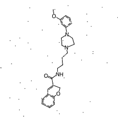 COc1cccc(N2CCN(CCCCNC(=O)C3=Cc4ccccc4OC3)CC2)c1